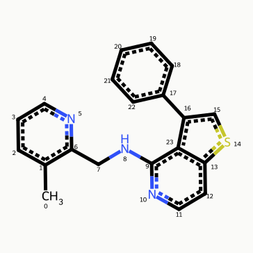 Cc1cccnc1CNc1nccc2scc(-c3ccccc3)c12